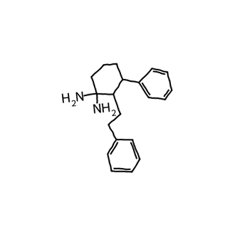 NC1(N)CCCC(c2ccccc2)C1CCc1ccccc1